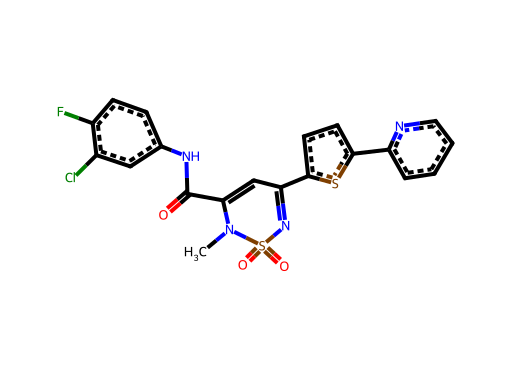 CN1C(C(=O)Nc2ccc(F)c(Cl)c2)=CC(c2ccc(-c3ccccn3)s2)=NS1(=O)=O